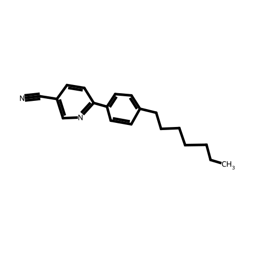 CCCCCCCc1ccc(-c2ccc(C#N)cn2)cc1